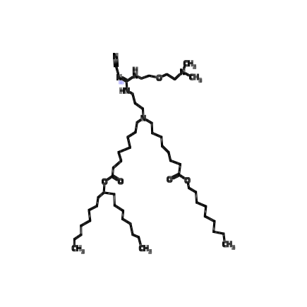 CCCCCCCCCOC(=O)CCCCCCCN(CCCCCCCC(=O)OC(CCCCCCCC)CCCCCCCC)CCCN/C(=N/C#N)NCCOCCN(C)C